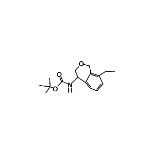 CCc1cccc2c1COCC2NC(=O)OC(C)(C)C